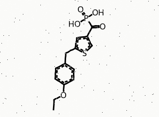 CCOc1ccc(Cc2cc(C(=O)P(=O)(O)O)cs2)cc1